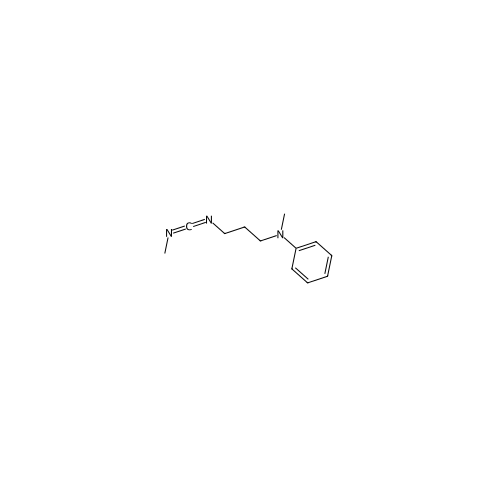 CN=C=NCCCN(C)c1ccccc1